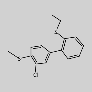 CCSc1ccc[c]c1-c1ccc(SC)c(Cl)c1